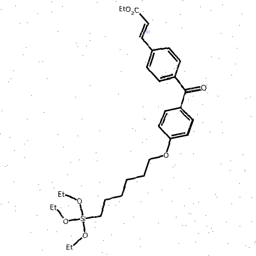 CCOC(=O)/C=C/c1ccc(C(=O)c2ccc(OCCCCCC[Si](OCC)(OCC)OCC)cc2)cc1